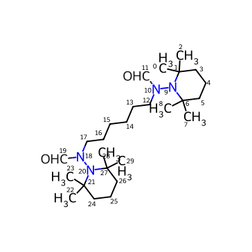 CC1(C)CCCC(C)(C)N1N(C=O)CCCCCCN(C=O)N1C(C)(C)CCCC1(C)C